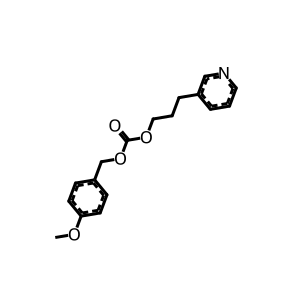 COc1ccc(COC(=O)OCCCc2cccnc2)cc1